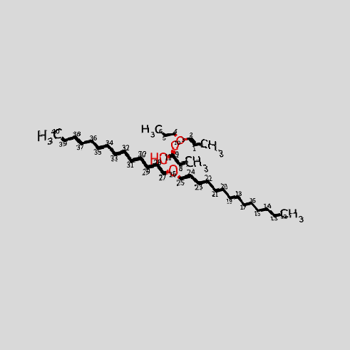 CC=COCCC.CCC(=O)O.CCCCCCCCCCCCCCOCCCCCCCCCCCCCC